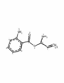 C=CC(N)OC(=O)c1ccccc1[SiH3]